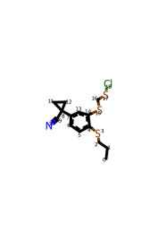 CCCSc1ccc(C2(C#N)CC2)cc1SCSCl